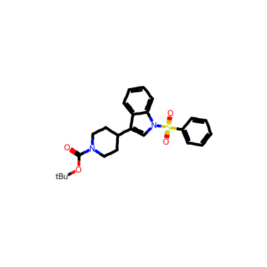 CC(C)(C)OC(=O)N1CCC(c2cn(S(=O)(=O)c3ccccc3)c3ccccc23)CC1